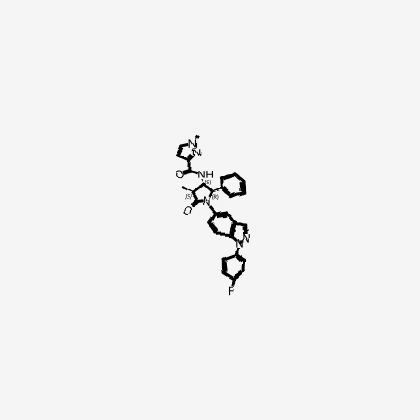 C[C@@H]1C(=O)N(c2ccc3c(cnn3-c3ccc(F)cc3)c2)[C@H](c2ccccc2)[C@H]1NC(=O)c1ccn(C)n1